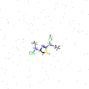 CC(=O)N(Cl)c1csc(N(Cl)C(C)=O)n1